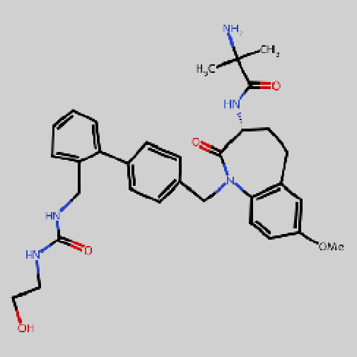 COc1ccc2c(c1)CC[C@@H](NC(=O)C(C)(C)N)C(=O)N2Cc1ccc(-c2ccccc2CNC(=O)NCCO)cc1